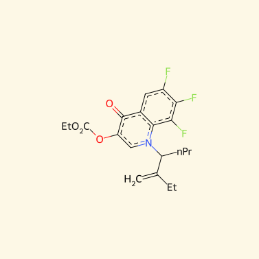 C=C(CC)C(CCC)n1cc(OC(=O)OCC)c(=O)c2cc(F)c(F)c(F)c21